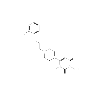 Cn1c(N2CCN(CCOc3ccccc3N)CC2)cc(=O)n(C)c1=O